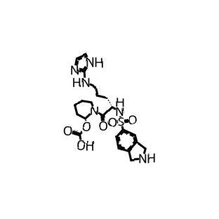 O=C(O)O[C@@H]1CCCCN1C(=O)[C@H](CCCNc1ncc[nH]1)NS(=O)(=O)c1ccc2c(c1)CNC2